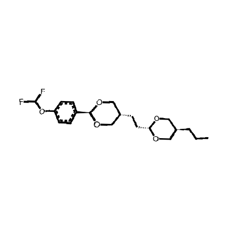 CCC[C@H]1CO[C@H](CC[C@H]2CO[C@H](c3ccc(OC(F)F)cc3)OC2)OC1